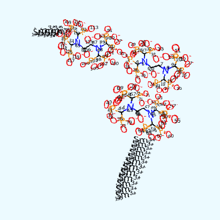 O=P([O-])([O-])C(N(CCN(C(P(=O)([O-])[O-])P(=O)([O-])[O-])C(P(=O)([O-])[O-])P(=O)([O-])[O-])C(P(=O)([O-])[O-])P(=O)([O-])[O-])P(=O)([O-])[O-].O=P([O-])([O-])C(N(CCN(C(P(=O)([O-])[O-])P(=O)([O-])[O-])C(P(=O)([O-])[O-])P(=O)([O-])[O-])C(P(=O)([O-])[O-])P(=O)([O-])[O-])P(=O)([O-])[O-].O=P([O-])([O-])C(N(CCN(C(P(=O)([O-])[O-])P(=O)([O-])[O-])C(P(=O)([O-])[O-])P(=O)([O-])[O-])C(P(=O)([O-])[O-])P(=O)([O-])[O-])P(=O)([O-])[O-].[Sm+3].[Sm+3].[Sm+3].[Sm+3].[Sm+3].[Sm+3].[Sm+3].[Sm+3].[Sm+3].[Sm+3].[Sm+3].[Sm+3].[Sm+3].[Sm+3].[Sm+3].[Sm+3]